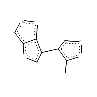 FC(F)(F)c1sncc1-c1c[nH]c2cnoc12